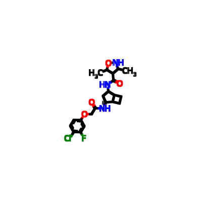 CC1NOC(C)C1C(=O)NC1C[C@H](NC(=O)COc2ccc(Cl)c(F)c2)C2CCC12